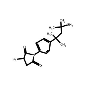 BC(C)(C)CC(C)(C)c1ccc(N2C(=O)CC(C(C)C)C2=O)cc1